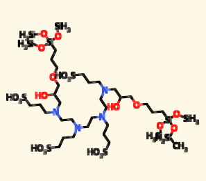 C[SiH2]O[Si](CCCOCC(O)CN(CCCS(=O)(=O)O)CCN(CCCS(=O)(=O)O)CCN(CCCS(=O)(=O)O)CCN(CCCS(=O)(=O)O)CC(O)COCCC[Si](O[SiH3])(O[SiH3])O[SiH3])(O[SiH3])O[SiH3]